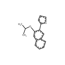 CC(C)Oc1cc2ccccc2cc1-c1cccs1